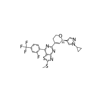 CSc1nc2nc(C3=C[C@H](c4cnn(C5CC5)c4)OCC3)nc(-c3ccc(C(F)(F)F)cc3F)c2s1